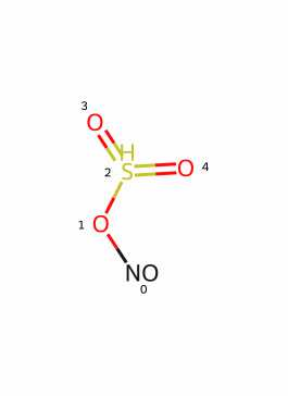 O=NO[SH](=O)=O